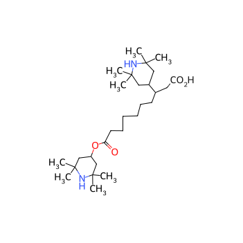 CC1(C)CC(OC(=O)CCCCCCC(CC(=O)O)C2CC(C)(C)NC(C)(C)C2)CC(C)(C)N1